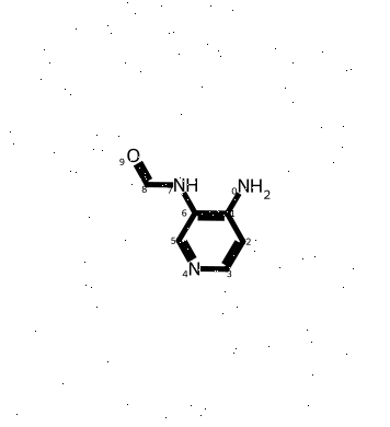 Nc1ccncc1NC=O